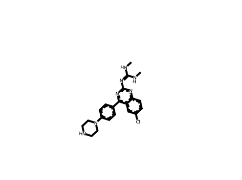 CNC(=Nc1nc(-c2ccc(N3CCNCC3)cc2)c2cc(Cl)ccc2n1)NC